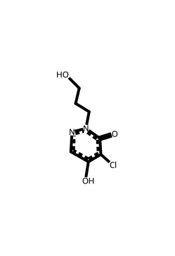 O=c1c(Cl)c(O)cnn1CCCO